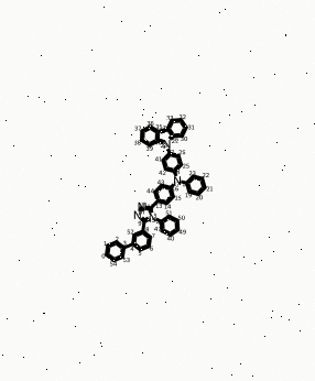 c1ccc(-c2cccc(-c3nnc(-c4ccc(N(c5ccccc5)c5ccc(-n6c7ccccc7c7ccccc76)cc5)cc4)n3-c3ccccc3)c2)cc1